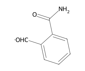 NC(=O)c1ccccc1[C]=O